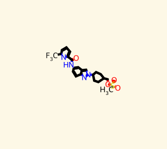 CS(=O)(=O)OCC1CCC(n2cc3cc(NC(=O)c4cccc(C(F)(F)F)n4)ccc3n2)CC1